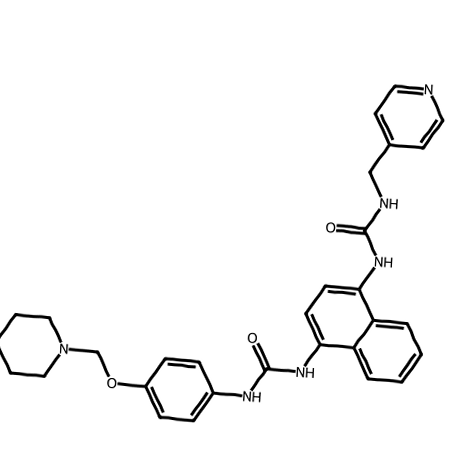 O=C(NCc1ccncc1)Nc1ccc(NC(=O)Nc2ccc(OCN3CCCCC3)cc2)c2ccccc12